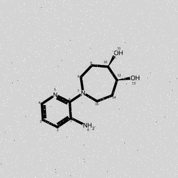 Nc1cccnc1N1CC[C@@H](O)[C@@H](O)CC1